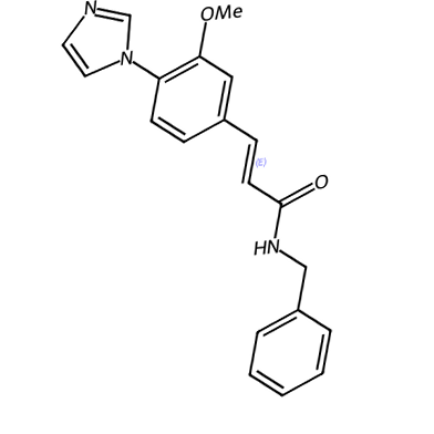 COc1cc(/C=C/C(=O)NCc2ccccc2)ccc1-n1ccnc1